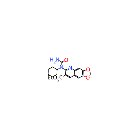 CCOC(=O)c1cc2cc3c(cc2nc1N(C(N)=O)C1CCCCC1)OCO3